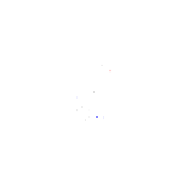 Nc1cccc(NC2CC(N3CCOCC3)C2)c1